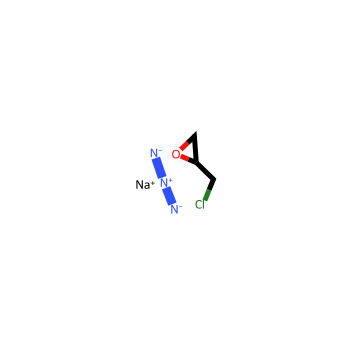 ClCC1CO1.[N-]=[N+]=[N-].[Na+]